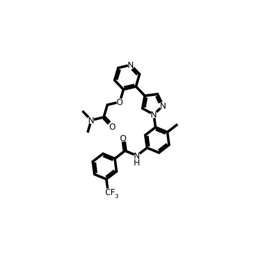 Cc1ccc(NC(=O)c2cccc(C(F)(F)F)c2)cc1-n1cc(-c2cnccc2OCC(=O)N(C)C)cn1